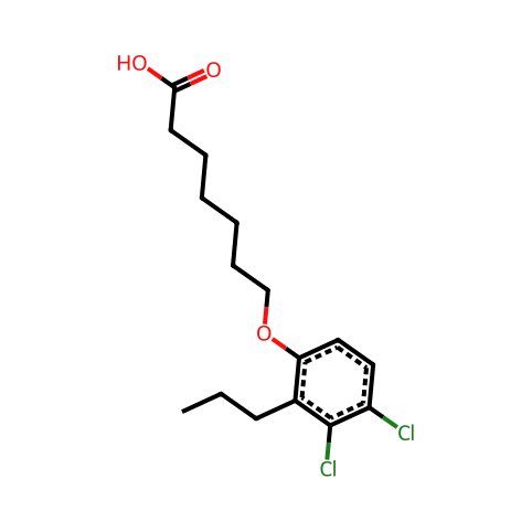 CCCc1c(OCCCCCCC(=O)O)ccc(Cl)c1Cl